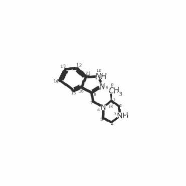 C[C@H]1CNCCN1Cc1n[nH]c2ccccc12